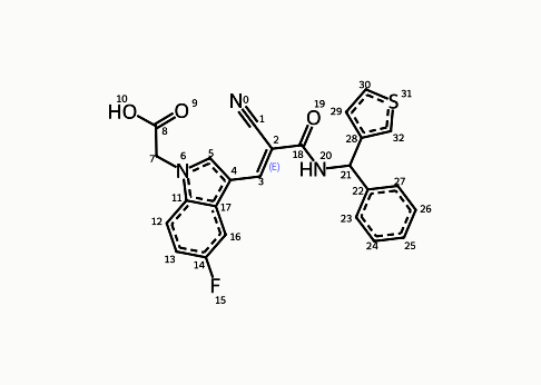 N#C/C(=C\c1cn(CC(=O)O)c2ccc(F)cc12)C(=O)NC(c1ccccc1)c1ccsc1